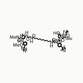 CNC(=O)c1nnc(NC(=O)CNC(=O)CCCCCCCCCCNC(=O)C[C@H](NC(=O)[C@@H]2C[C@@H](O)CN2C(=O)[C@@H](NC(=O)C2(F)CC2)C(C)(C)C)c2ccc(-c3scnc3C)cc2)cc1Nc1cccc(-c2ncn(C)n2)c1OC